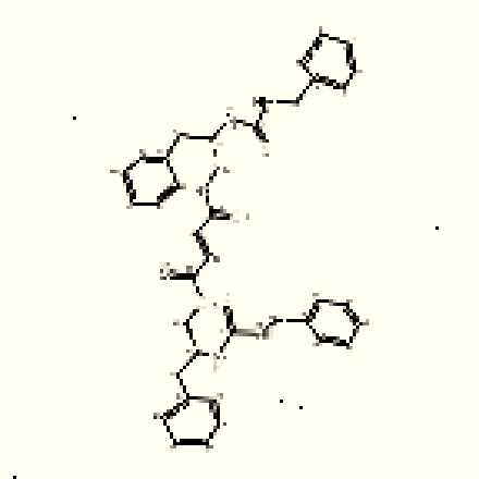 O=C(NCc1ccccc1)N[C@H](COC(=O)/C=C/C(=O)OC[C@H](Cc1ccccc1)NC(=O)NCc1ccccc1)Cc1ccccc1